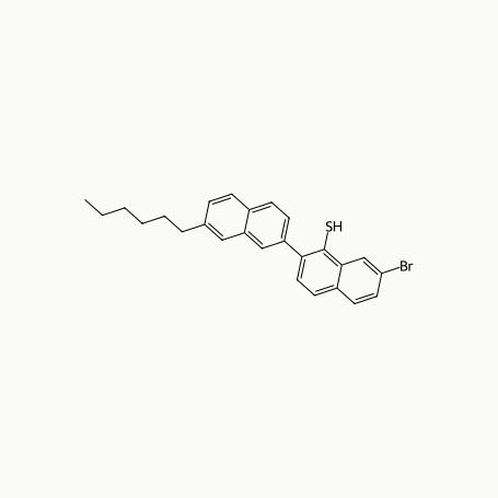 CCCCCCc1ccc2ccc(-c3ccc4ccc(Br)cc4c3S)cc2c1